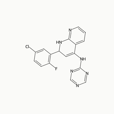 Fc1ccc(Cl)cc1C1C=C(Nc2ncncn2)c2cccnc2N1